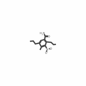 CCCc1cc(C(N)=O)c(CCC)c([N+](=O)[O-])c1C